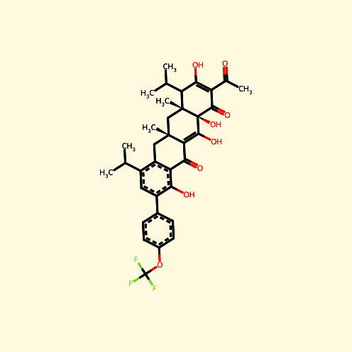 CC(=O)C1=C(O)C(C(C)C)[C@@]2(C)C[C@@]3(C)Cc4c(C(C)C)cc(-c5ccc(OC(F)(F)F)cc5)c(O)c4C(=O)C3=C(O)[C@@]2(O)C1=O